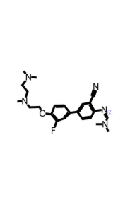 CN(C)/C=N\c1ccc(-c2ccc(OCCN(C)CCN(C)C)c(F)c2)cc1C#N